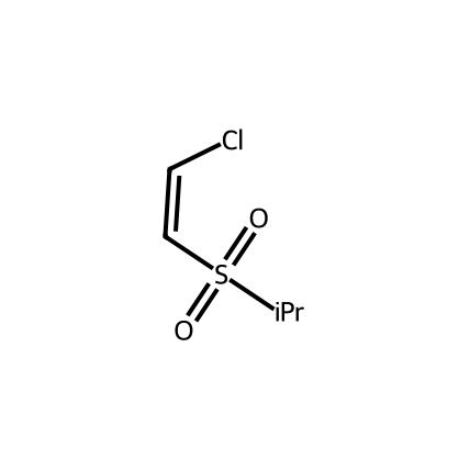 CC(C)S(=O)(=O)/C=C\Cl